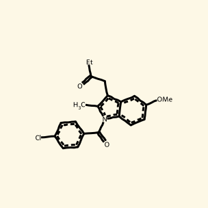 CCC(=O)Cc1c(C)n(C(=O)c2ccc(Cl)cc2)c2ccc(OC)cc12